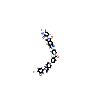 CC1CC2(CCN(c3ccc(C(=O)N4CCC(N5Cc6cc7c(cc6C5)C(=O)N(C5CCC(O)NC5=O)C7=O)CC4)c(F)c3)CC2)CN1c1ccc(C#N)c(Cl)c1